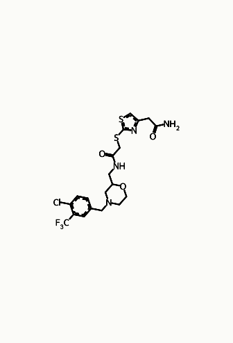 NC(=O)Cc1csc(SCC(=O)NCC2CN(Cc3ccc(Cl)c(C(F)(F)F)c3)CCO2)n1